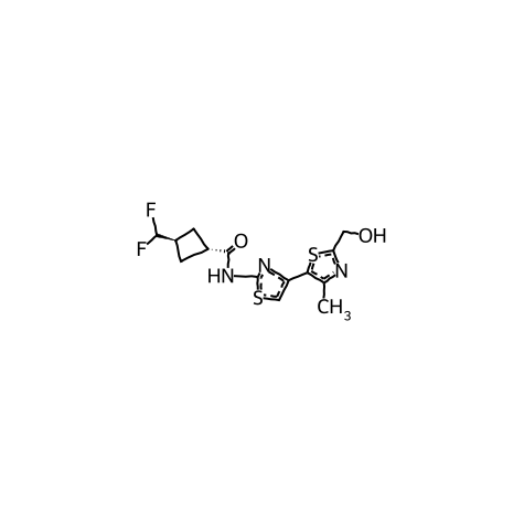 Cc1nc(CO)sc1-c1csc(NC(=O)[C@H]2C[C@H](C(F)F)C2)n1